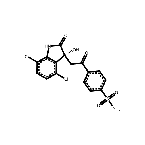 NS(=O)(=O)c1ccc(C(=O)C[C@]2(O)C(=O)Nc3c(Cl)ccc(Cl)c32)cc1